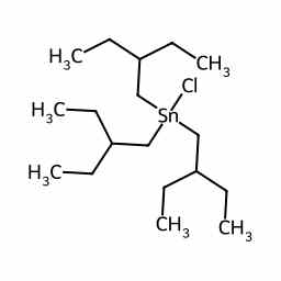 CCC(CC)[CH2][Sn]([Cl])([CH2]C(CC)CC)[CH2]C(CC)CC